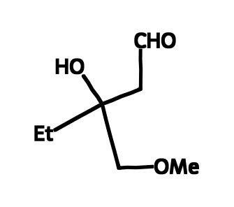 CCC(O)(CC=O)COC